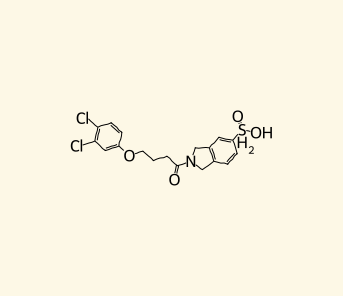 O=C(CCCOc1ccc(Cl)c(Cl)c1)N1Cc2ccc([SH2](=O)O)cc2C1